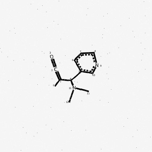 CC(=C=O)C(c1cccnc1)N(C)C